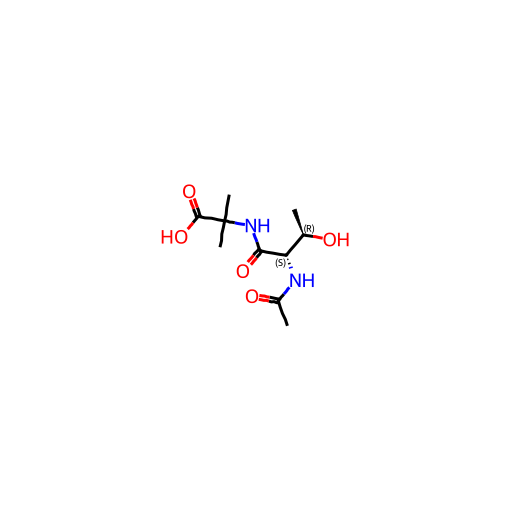 CC(=O)N[C@H](C(=O)NC(C)(C)C(=O)O)[C@@H](C)O